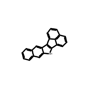 c1ccc2cc3c4c([nH]c3cc2c1)-c1cccc2cccc-4c12